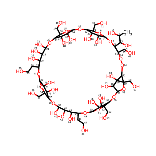 CC(O)C(O)C1OC2OC(CO)C(OC3OC(CO)C(OC(O)C(O)C(O)C(CCO)OC4OC(CO)C(OC(O)C(O)C(O)C(CCO)OC5OC(CO)C(OC6OC7(CO)C(OOC1CO)C7(O)C6O)C(O)C5O)C(O)C4O)C(O)C3O)C(O)C2O